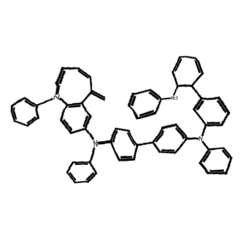 C=C1/C=C\C=C/N(c2ccccc2)c2ccc(N(c3ccccc3)c3ccc(-c4ccc(N(c5ccccc5)c5cccc(C6C=CC=CC6Nc6ccccc6)c5)cc4)cc3)cc21